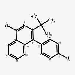 CC(C)(C)c1nc(Cl)c2ccccc2c1-c1ccc(Cl)cc1